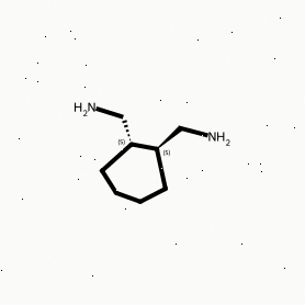 NC[C@H]1CCCC[C@@H]1CN